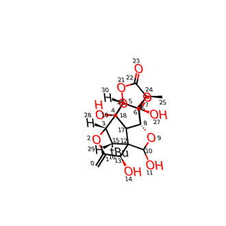 C=C1O[C@@H]2C3OC(=O)[C@]45OC(O)C([C@H]1O)([C@@H]2C(C)(C)C)C34[C@@H](O)[C@@H]1OC(=O)[C@@H](C)[C@@]15O